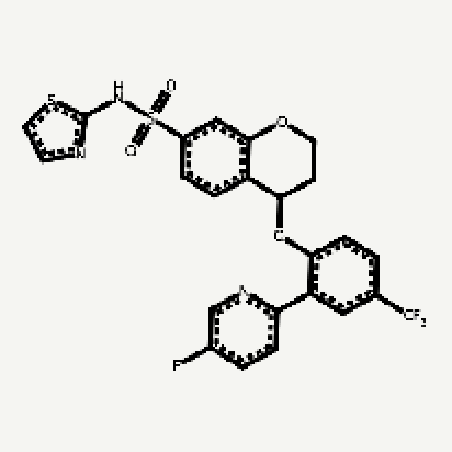 O=S(=O)(Nc1nccs1)c1ccc2c(c1)OCCC2Oc1ccc(C(F)(F)F)cc1-c1ccc(F)cn1